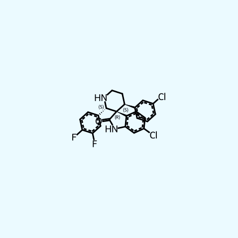 O=C1Nc2cc(Cl)ccc2[C@@]12[C@H](c1cccc(Cl)c1)CCN[C@H]2c1ccc(F)c(F)c1